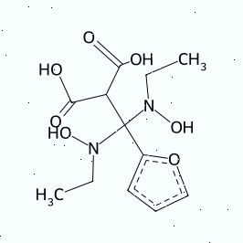 CCN(O)C(c1ccco1)(C(C(=O)O)C(=O)O)N(O)CC